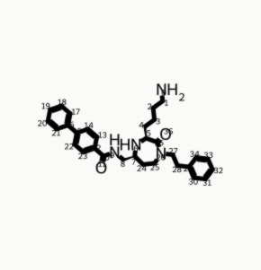 NCCCC[C@@H]1N[C@H](CNC(=O)c2ccc(-c3ccccc3)cc2)CCN(CCc2ccccc2)C1=O